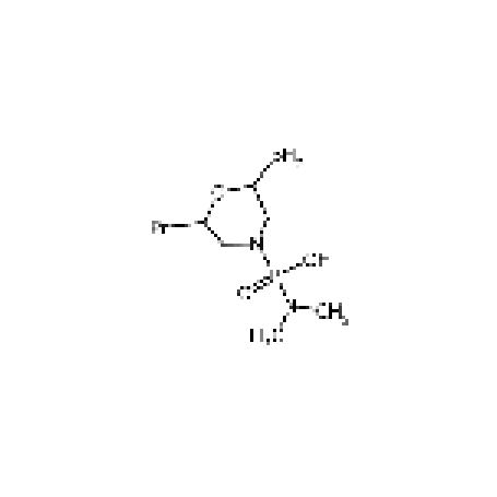 BC1CN(P(=O)(O)N(C)C)CC(C(C)C)O1